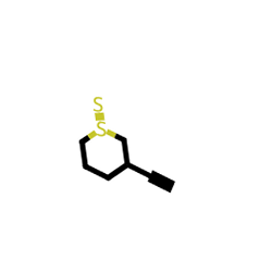 C#CC1CCCS(=S)C1